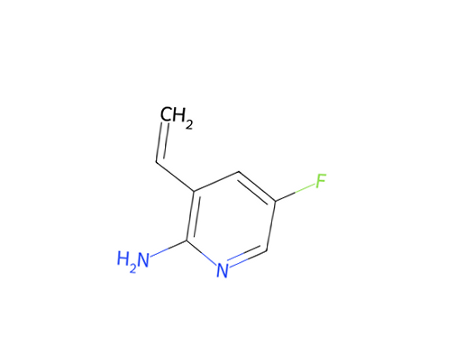 C=Cc1cc(F)cnc1N